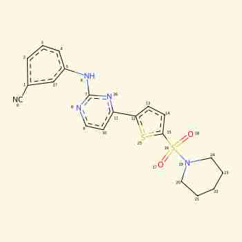 N#Cc1cccc(Nc2nccc(-c3ccc(S(=O)(=O)N4CCCCC4)s3)n2)c1